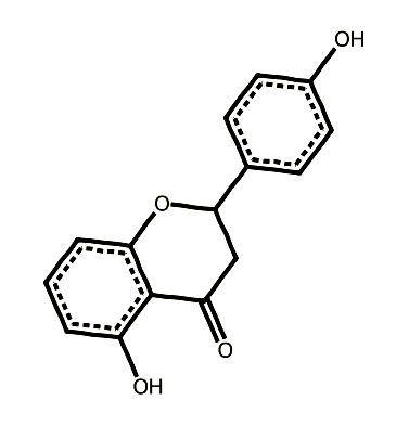 O=C1CC(c2ccc(O)cc2)Oc2cccc(O)c21